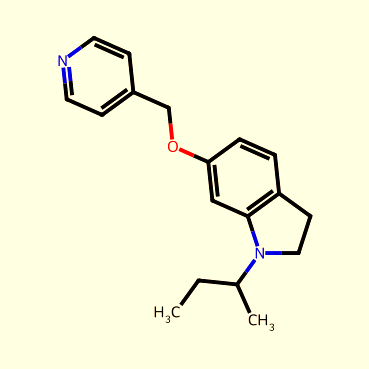 CCC(C)N1CCc2ccc(OCc3ccncc3)cc21